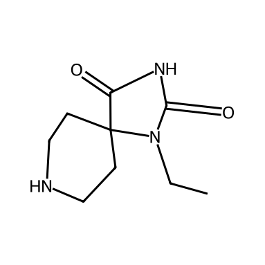 CCN1C(=O)NC(=O)C12CCNCC2